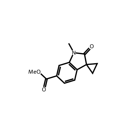 COC(=O)c1ccc2c(c1)N(C)C(=O)C21CC1